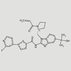 C=CC(=O)N1CCC[C@@H]1Cn1c(NC(=O)c2ccc(-c3ccnc(F)c3)s2)nc2cc(C(C)(C)O)ccc21